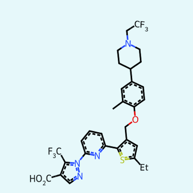 CCc1cc(COc2ccc(C3CCN(CC(F)(F)F)CC3)cc2C)c(-c2cccc(-n3ncc(C(=O)O)c3C(F)(F)F)n2)s1